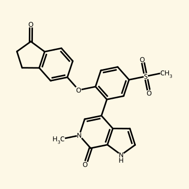 Cn1cc(-c2cc(S(C)(=O)=O)ccc2Oc2ccc3c(c2)CCC3=O)c2cc[nH]c2c1=O